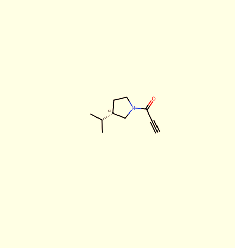 C#CC(=O)N1CC[C@@H](C(C)C)C1